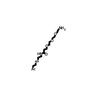 CC(=O)CCSSCCNC(=O)CCOCCOCCOCCN